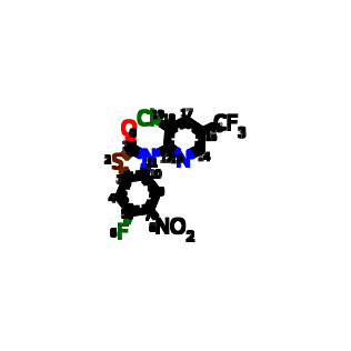 O=c1sc2cc(F)c([N+](=O)[O-])cc2n1-c1ncc(C(F)(F)F)cc1Cl